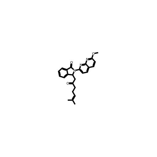 COc1ccc2ccc(N3C(=O)c4ccccc4C3CC(=O)CCC=C(C)C)nc2n1